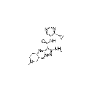 CN1CCc2nc3c(C(=O)Nc4cncnc4C4CC4)c(N)nn3cc2C1